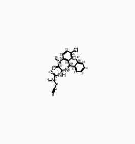 C#CCN(C)C(=S)NC1N=C(c2ccccc2Cl)c2cc(Cl)ccc2N(C)C1=O